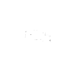 OC1(Cc2nccs2)CC1